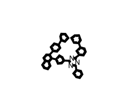 c1ccc(-c2ccc(-c3ccc4ccccc4c3-c3ccc(-c4nc(-c5ccccc5)nc(-c5cccc(-c6ccccc6)c5)n4)cc3)cc2)cc1